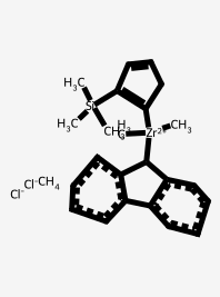 C.C[Si](C)(C)C1=[C]([Zr+2]([CH3])([CH3])[CH]2c3ccccc3-c3ccccc32)CC=C1.[Cl-].[Cl-]